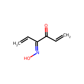 C=CC(=O)C(C=C)=NO